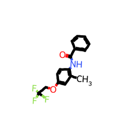 Cc1cc(OCC(F)(F)F)ccc1NC(=O)c1ccccc1